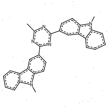 Cc1nc(-c2ccc3c(c2)c2ccccc2n3C)nc(-c2ccc3c(c2)c2ccccc2n3C)n1